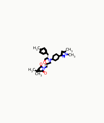 Cc1ccc(C[C@H]2CO[C@@H](CN3C(=O)C4C(C3=O)C4(C)C)CN2C2CCC(c3cc(C)n(C)n3)CC2)cc1